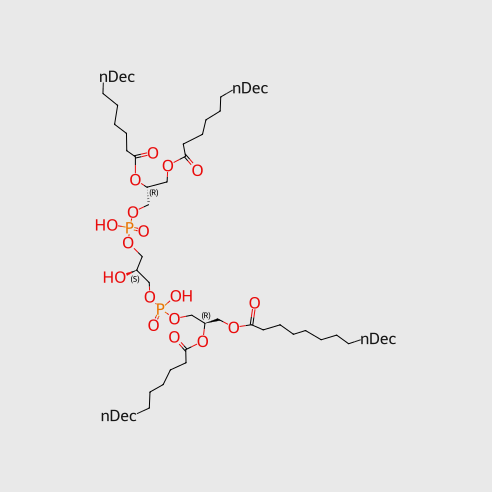 CCCCCCCCCCCCCCCCCC(=O)OC[C@H](COP(=O)(O)OC[C@@H](O)COP(=O)(O)OC[C@@H](COC(=O)CCCCCCCCCCCCCCC)OC(=O)CCCCCCCCCCCCCCC)OC(=O)CCCCCCCCCCCCCCC